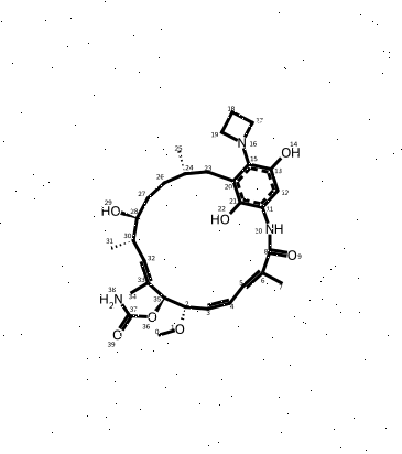 CO[C@H]1/C=C\C=C(/C)C(=O)Nc2cc(O)c(N3CCC3)c(c2O)C[C@@H](C)CC[C@H](O)[C@@H](C)/C=C(\C)[C@@H]1OC(N)=O